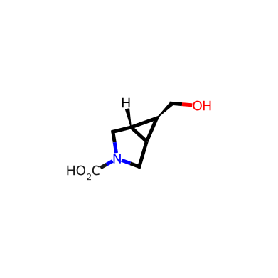 O=C(O)N1CC2[C@H](CO)[C@H]2C1